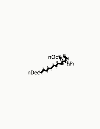 CCCCCCCCCCCCCCCCCCCC1N(CCC)C=CN1CCCCCCCC